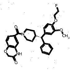 COc1cc([C@H](c2ccccc2)C2CCN(C(=O)c3ccc4c(c3)NC(=O)CO4)CC2)ccc1OCCF